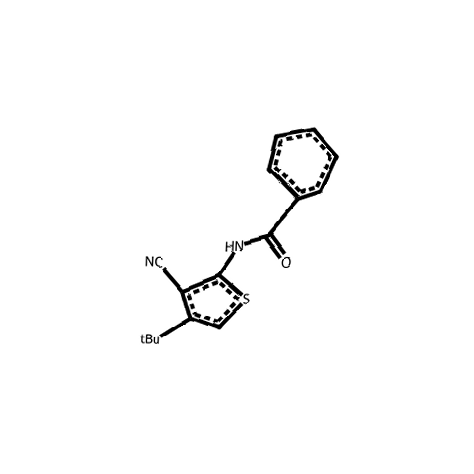 CC(C)(C)c1csc(NC(=O)c2ccccc2)c1C#N